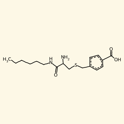 CCCCCCNC(=O)C(N)CSCc1ccc(C(=O)O)cc1